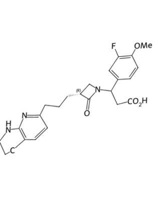 COc1ccc(C(CC(=O)O)N2C[C@@H](CCCc3ccc4c(n3)NCCC4)C2=O)cc1F